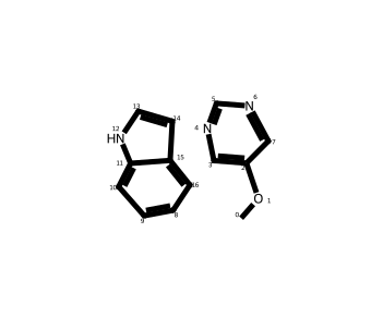 COc1cncnc1.c1ccc2[nH]ccc2c1